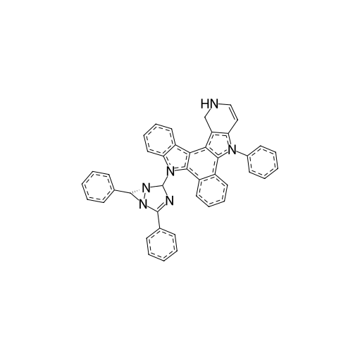 C1=Cc2c(c3c4c5ccccc5n(C5N=C(c6ccccc6)N6C(c7ccccc7)[N@]56)c4c4ccccc4c3n2-c2ccccc2)CN1